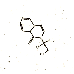 CCC(C)(C)N1C=CC2C=CC=CC2C1=O